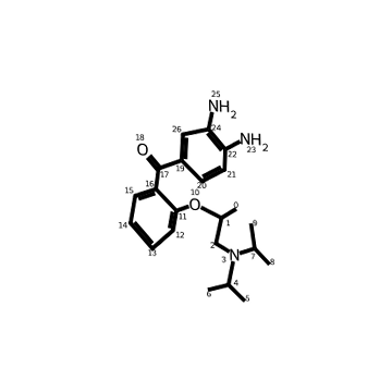 CC(CN(C(C)C)C(C)C)Oc1ccccc1C(=O)c1ccc(N)c(N)c1